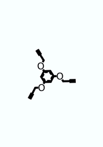 C#CCOc1cc(OCC#C)cc(OCC#C)c1